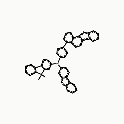 CC1(C)c2ccccc2-c2ccc(N(c3ccc(-c4cccc5c4ccc4c6ccccc6sc54)cc3)c3ccc4c(c3)sc3ccccc34)cc21